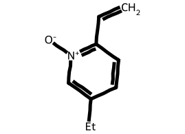 C=Cc1ccc(CC)c[n+]1[O-]